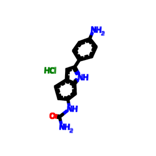 Cl.NC(=O)Nc1ccc2cc(-c3ccc(N)cc3)[nH]c2c1